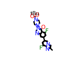 Cc1cn2cc(-c3cc(F)c4c(=O)n(N5CCN(C(=O)OC(C)(C)C)CC5)cnc4c3)cc(F)c2n1